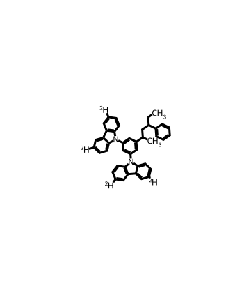 [2H]c1ccc2c(c1)c1cc([2H])ccc1n2-c1cc(C(C)CC(CC)c2ccccc2)cc(-n2c3ccc([2H])cc3c3cc([2H])ccc32)c1